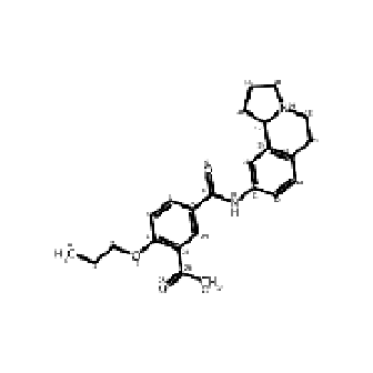 CCCOc1ccc(C(=O)Nc2ccc3c(c2)C2CCCN2CC3)cc1C(C)=O